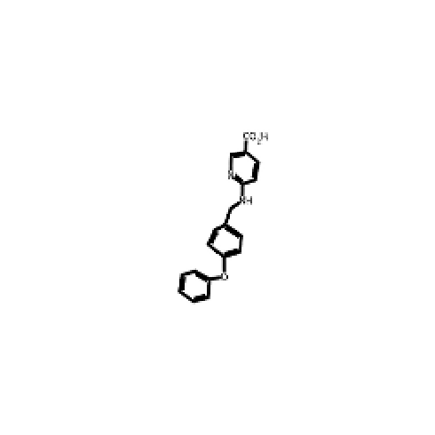 O=C(O)c1ccc(NCc2ccc(Oc3ccccc3)cc2)nc1